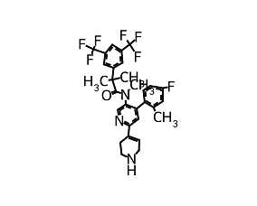 Cc1cc(F)ccc1-c1cc(C2=CCNCC2)ncc1N(C)C(=O)C(C)(C)c1cc(C(F)(F)F)cc(C(F)(F)F)c1